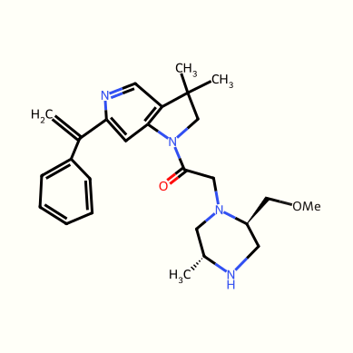 C=C(c1ccccc1)c1cc2c(cn1)C(C)(C)CN2C(=O)CN1C[C@@H](C)NC[C@@H]1COC